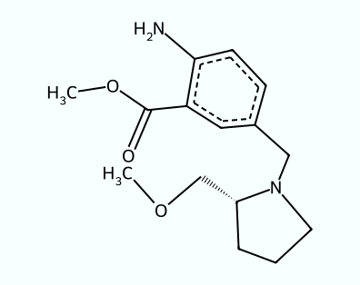 COC[C@H]1CCCN1Cc1ccc(N)c(C(=O)OC)c1